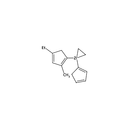 CCC1=CC(C)=[C]([Zr]2([C]3=CC=CC3)[CH2][CH2]2)C1